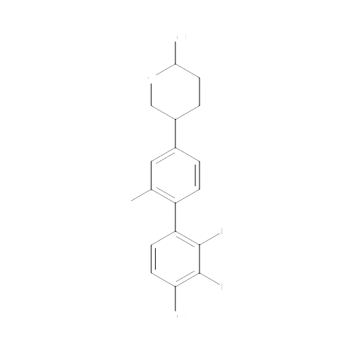 CCCc1ccc(-c2ccc(C3CCC(CCC)OC3)cc2F)c(F)c1F